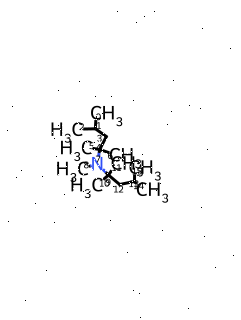 CC(C)CC(C)(C)N(C)C(C)(C)CC(C)C